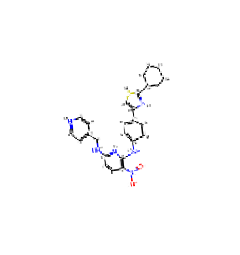 O=[N+]([O-])c1ccc(NCc2ccncc2)nc1Nc1ccc(-c2csc(C3CCCCC3)n2)cc1